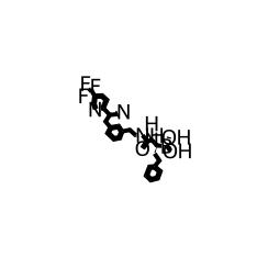 N#CC(Cc1cccc(CCNC(=O)N[C@@H](CCc2ccccc2)B(O)O)c1)c1ccc(C(F)(F)F)cn1